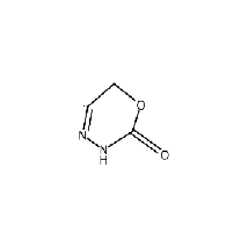 O=C1NN=[C]CO1